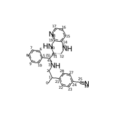 CC(CN[C@@H](c1ccccc1)[C@H]1CNc2cccnc2N1)c1ccc(C#N)cc1